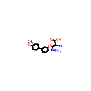 COc1ccc(-c2cccc(O/C(NN)=C(/N)C(=O)O)c2)cc1